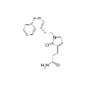 NC(=O)CCC1=CCN(CCc2cccc3ccccc23)C1=O